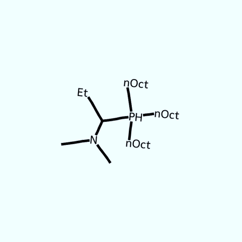 CCCCCCCC[PH](CCCCCCCC)(CCCCCCCC)C(CC)N(C)C